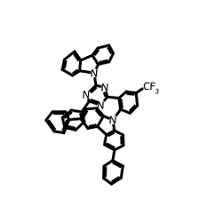 FC(F)(F)c1ccc(-n2c3ccc(-c4ccccc4)cc3c3cc(-c4ccccc4)ccc32)c(-c2nc(-c3ccccc3)nc(-n3c4ccccc4c4ccccc43)n2)c1